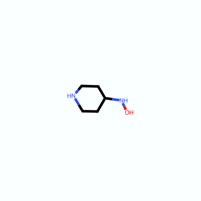 ONC1CCNCC1